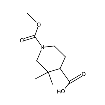 COC(=O)N1CCC(C(=O)O)C(C)(C)C1